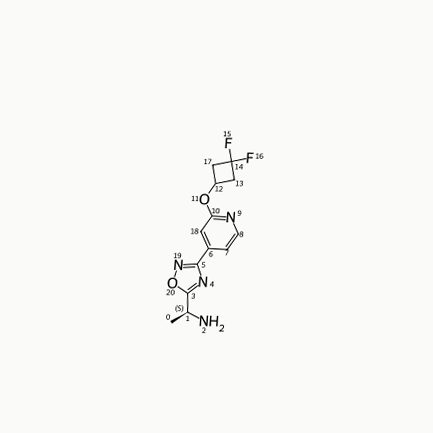 C[C@H](N)c1nc(-c2ccnc(OC3CC(F)(F)C3)c2)no1